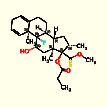 CCC(=O)O[C@]1(C(=S)OC)[C@@H](C)C[C@H]2[C@@H]3CCC4=CCC=C[C@]4(C)[C@@]3(F)[C@@H](O)C[C@@]21C